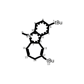 Cn1c2c(c3cc(C(C)(C)C)ccc31)C=C(C(C)(C)C)CC=C2